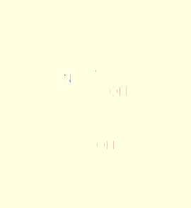 Oc1ccc(C2=NCCO2)c(O)c1